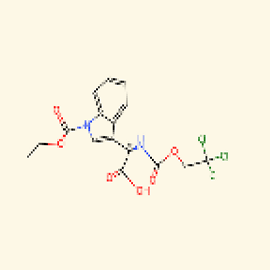 CCOC(=O)n1cc([C@@H](NC(=O)OCC(Cl)(Cl)Cl)C(=O)O)c2ccccc21